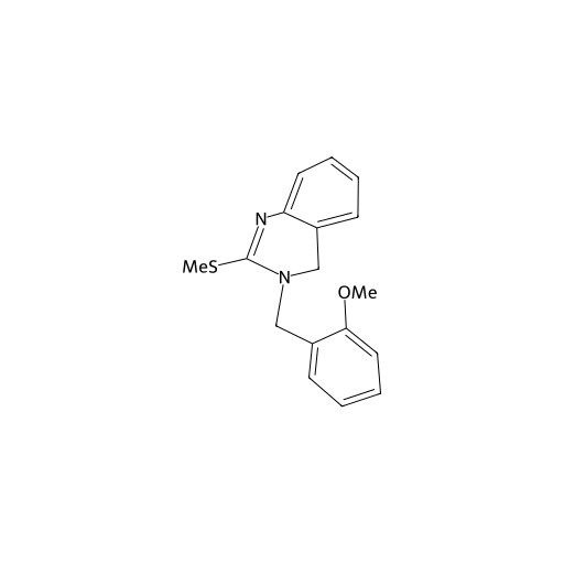 COc1ccccc1CN1Cc2ccccc2N=C1SC